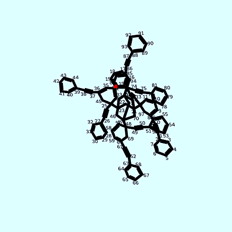 C(#Cc1ccccc1)C1=CC=CC(C#Cc2ccccc2)(C23CC4(C5(C#Cc6ccccc6)C=CC=C(C#Cc6ccccc6)C5)CC(C5(C#Cc6ccccc6)C=CC=C(C#Cc6ccccc6)C5)(C2)CC(C2(C#Cc5ccccc5)C=CC=C(C#Cc5ccccc5)C2)(C3)C4)C1